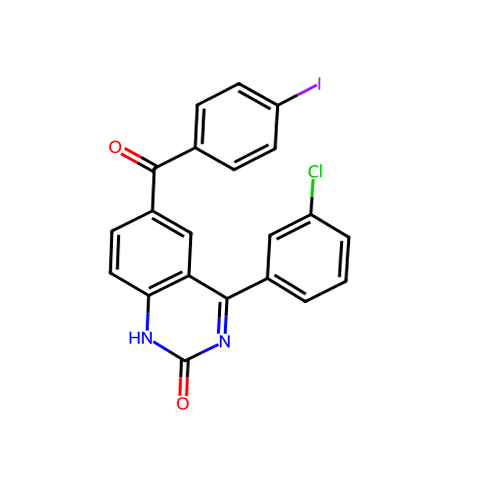 O=C(c1ccc(I)cc1)c1ccc2[nH]c(=O)nc(-c3cccc(Cl)c3)c2c1